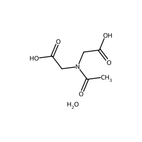 CC(=O)N(CC(=O)O)CC(=O)O.O